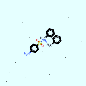 Cc1ccccc1.Cc1ccccc1.Nc1ccc(S(N)(=O)=O)cc1